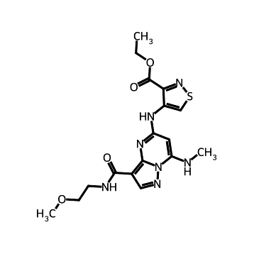 CCOC(=O)c1nscc1Nc1cc(NC)n2ncc(C(=O)NCCOC)c2n1